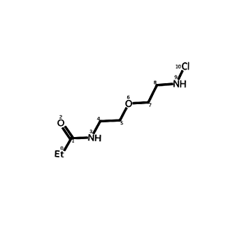 CCC(=O)NCCOCCNCl